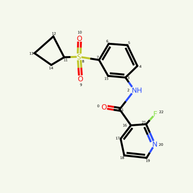 O=C(Nc1cccc(S(=O)(=O)C2CCC2)c1)c1cccnc1F